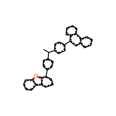 CC(c1ccc(-c2cc3ccccc3c3ccccc23)cc1)c1ccc(-c2cccc3c2oc2ccccc23)cc1